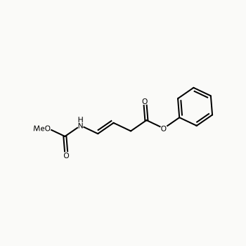 COC(=O)N/C=C/CC(=O)Oc1ccccc1